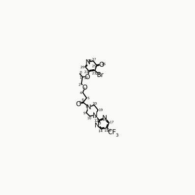 CC(COCCC(=O)N1CCN(c2ncc(C(F)(F)F)cn2)CC1)OC1=C(Br)C(=O)CN=C1